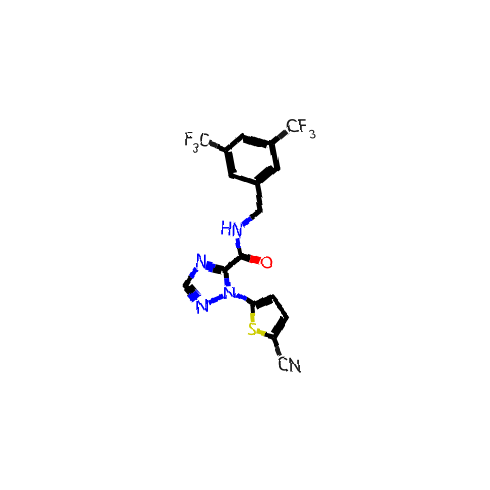 N#Cc1ccc(-n2ncnc2C(=O)NCc2cc(C(F)(F)F)cc(C(F)(F)F)c2)s1